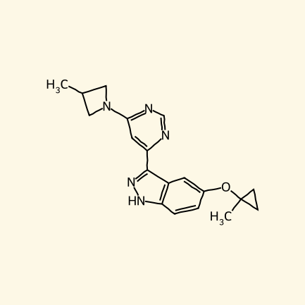 CC1CN(c2cc(-c3n[nH]c4ccc(OC5(C)CC5)cc34)ncn2)C1